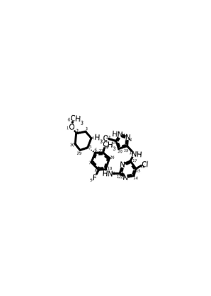 CO[C@H]1CC[C@H](c2cc(F)c(Nc3ncc(Cl)c(Nc4cc(C)[nH]n4)n3)cc2C)CC1